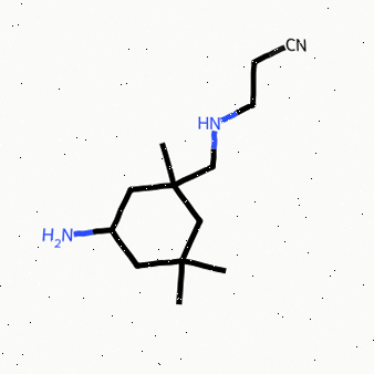 CC1(C)CC(N)CC(C)(CNCCC#N)C1